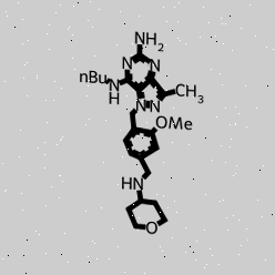 CCCCNc1nc(N)nc2c(C)nn(Cc3ccc(CNC4CCOCC4)cc3OC)c12